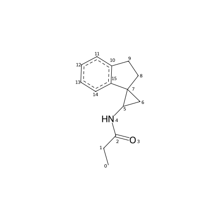 CCC(=O)NC1CC12CCc1ccccc12